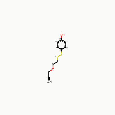 C#CCOCCSSc1ccc(O)cc1